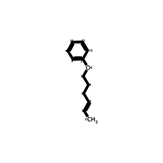 CC=CCCCOc1cc[c]cc1